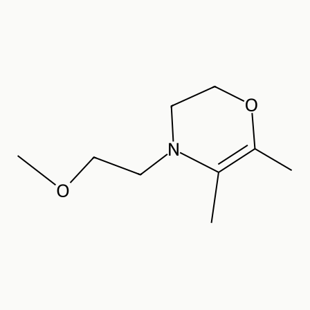 COCCN1CCOC(C)=C1C